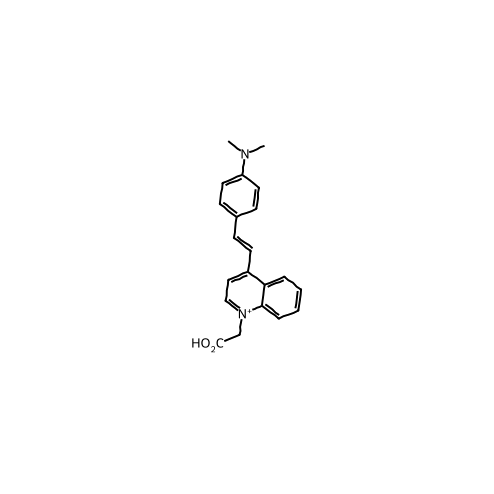 CN(C)c1ccc(/C=C/c2cc[n+](CC(=O)O)c3ccccc23)cc1